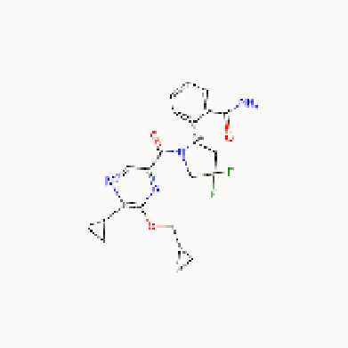 NC(=O)c1ccccc1[C@@H]1CC(F)(F)CN1C(=O)c1cnc(C2CC2)c(OCC2CC2)n1